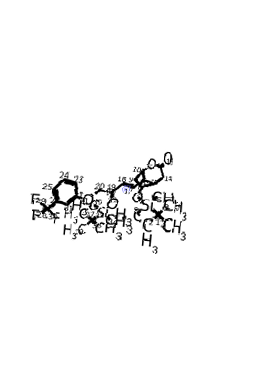 CC(C)(C)[Si](C)(C)OC1CC2OC(=O)CC1C2/C=C/[C@H](COc1cccc(C(F)(F)F)c1)O[Si](C)(C)C(C)(C)C